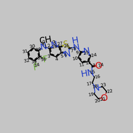 CN(c1ccc2nc(Nc3ccc(C(=O)NCCN4CCOCC4)cn3)sc2n1)c1cccc(F)c1F